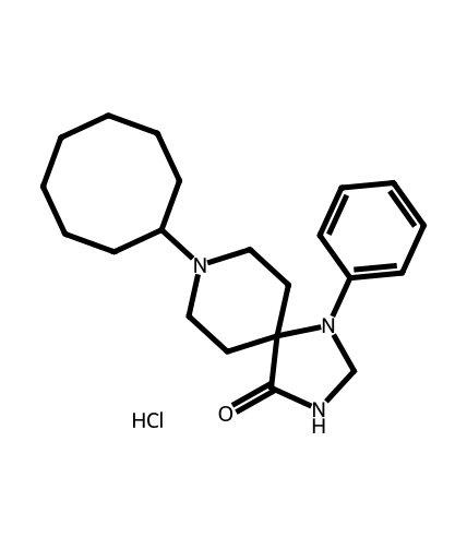 Cl.O=C1NCN(c2ccccc2)C12CCN(C1CCCCCCC1)CC2